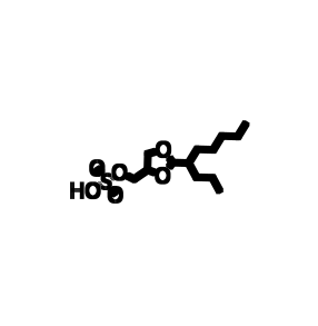 CCCCCC(CCC)C1OCC(COS(=O)(=O)O)O1